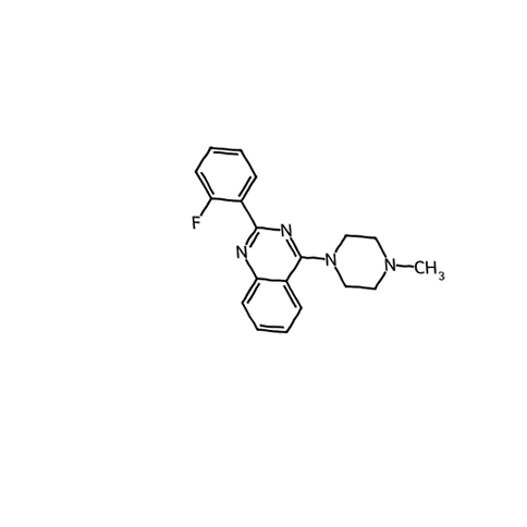 CN1CCN(c2nc(-c3ccccc3F)nc3ccccc23)CC1